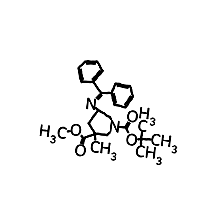 COC(=O)C1(C)CC(N=C(c2ccccc2)c2ccccc2)CN(C(=O)OC(C)(C)C)C1